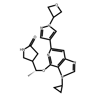 C[C@@H](Oc1nc(-c2cnn(C3COC3)c2)cc2ncn(C3CC3)c12)C1CNC(=O)C1